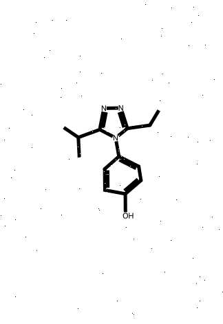 CCc1nnc(C(C)C)n1-c1ccc(O)cc1